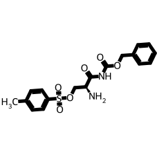 Cc1ccc(S(=O)(=O)OC[C@H](N)C(=O)NC(=O)OCc2ccccc2)cc1